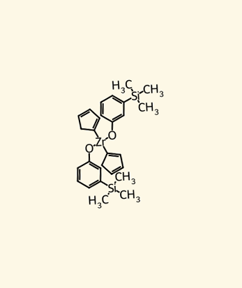 C[Si](C)(C)c1cccc([O][Zr]([O]c2cccc([Si](C)(C)C)c2)([C]2=CC=CC2)[C]2=CC=CC2)c1